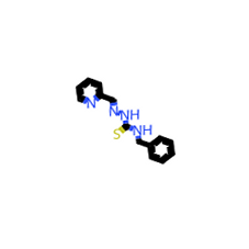 S=C(NCc1ccccc1)NN=Cc1ccccn1